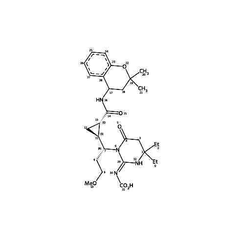 CCC1(CC)CC(=O)N([C@H](CCOC)[C@H]2C[C@@H]2C(=O)NC2CC(C)(C)Oc3ccccc32)C(=NC(=O)O)N1